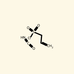 C=CCS(=O)(=O)Cl.N=C=O